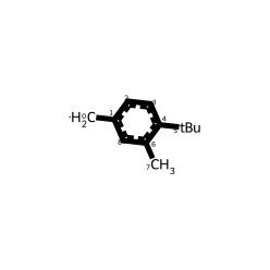 [CH2]c1ccc(C(C)(C)C)c(C)c1